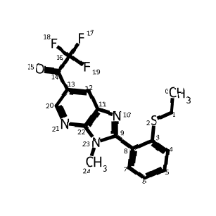 CCSc1ccccc1-c1nc2cc(C(=O)C(F)(F)F)cnc2n1C